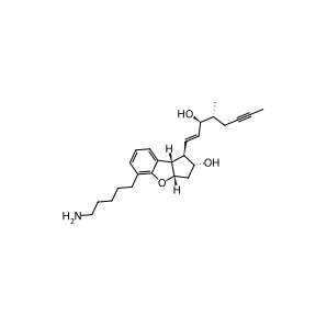 CC#CC[C@@H](C)[C@H](O)C=C[C@@H]1[C@H]2c3cccc(CCCCCN)c3O[C@H]2C[C@H]1O